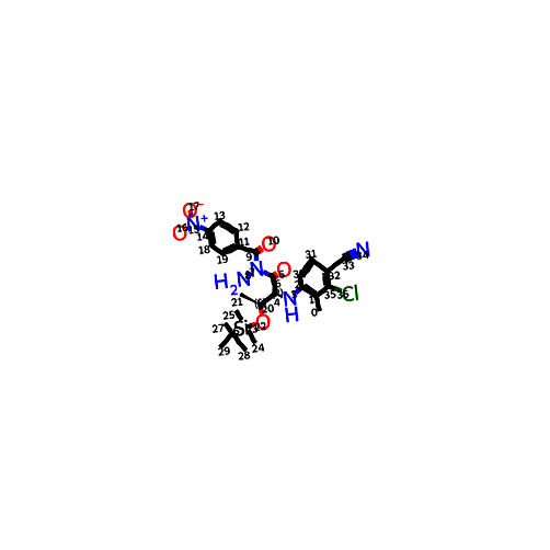 Cc1c(N[C@@H](C(=O)N(N)C(=O)c2ccc([N+](=O)[O-])cc2)[C@H](C)O[Si](C)(C)C(C)(C)C)ccc(C#N)c1Cl